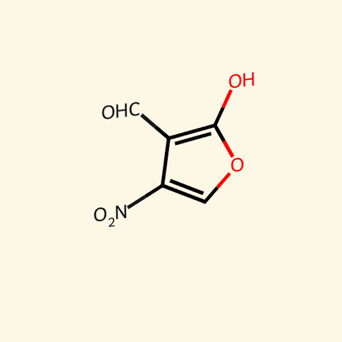 O=Cc1c([N+](=O)[O-])coc1O